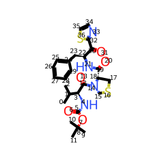 CC(C)[C@H](NC(=O)OC(C)(C)C)C(=O)N1CSC[C@H]1C(=O)N[C@@H](Cc1ccccc1)C(=O)c1nccs1